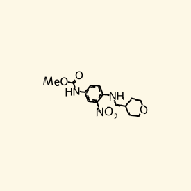 COC(=O)Nc1ccc(NCC2CCOCC2)c([N+](=O)[O-])c1